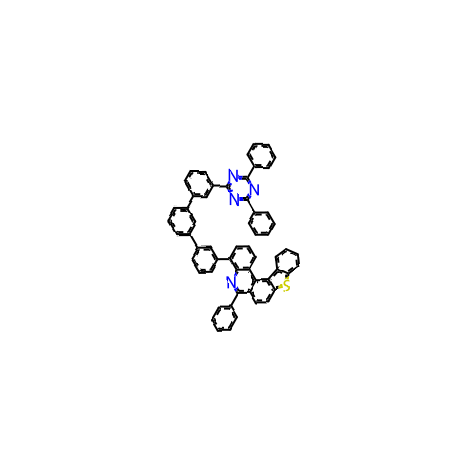 c1ccc(-c2nc(-c3ccccc3)nc(-c3cccc(-c4cccc(-c5cccc(-c6cccc7c6nc(-c6ccccc6)c6ccc8sc9ccccc9c8c67)c5)c4)c3)n2)cc1